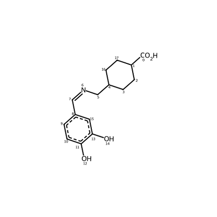 O=C(O)C1CCC(C/N=C\c2ccc(O)c(O)c2)CC1